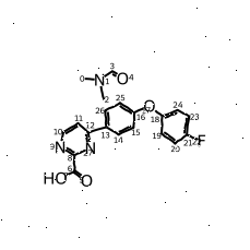 CN(C)C=O.O=C(O)c1nccc(-c2ccc(Oc3ccc(F)cc3)cc2)n1